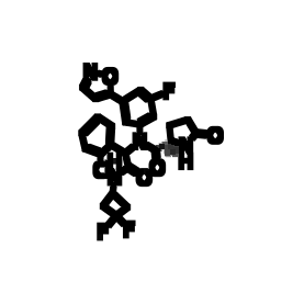 O=C1CC[C@@H](C(=O)N(c2cc(F)cc(-c3ccno3)c2)C(C(=O)NC2CC(F)(F)C2)c2ccccc2Cl)N1